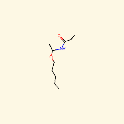 CCCCCOC(C)NC(=O)CC